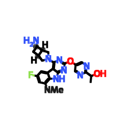 CNc1cc(F)cc2c1[nH]c1nc(Oc3cnc(C(C)O)nc3)nc(N3C[C@H]4C[C@@H](N)[C@H]4C3)c12